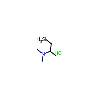 CC(C[SiH3])N(C)C.Cl